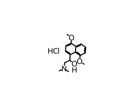 COc1ccc(C(O)CN(C)C)c2c(OC)cccc12.Cl